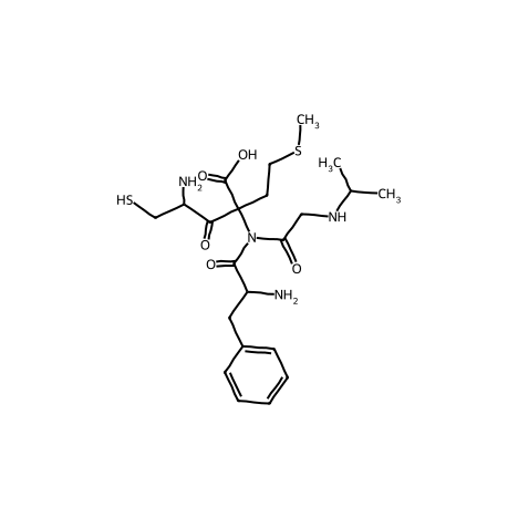 CSCCC(C(=O)O)(C(=O)C(N)CS)N(C(=O)CNC(C)C)C(=O)C(N)Cc1ccccc1